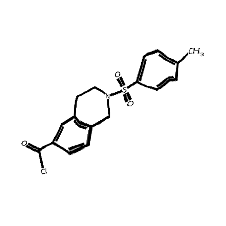 Cc1ccc(S(=O)(=O)N2CCc3cc(C(=O)Cl)ccc3C2)cc1